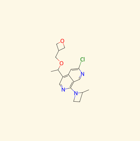 CC(OCC1COC1)c1cnc(N2CCC2C)c2cnc(Cl)cc12